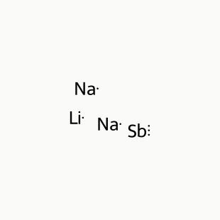 [Li].[Na].[Na].[Sb]